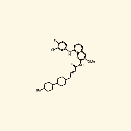 COc1cc2cccc(Nc3ccc(F)c(Cl)c3)c2cc1NC(=O)/C=C/CC1CCC(C2CCC(C(C)(C)C)CC2)CC1